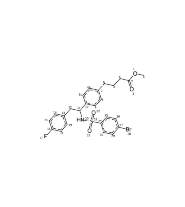 COC(=O)CCCc1ccc(C(Cc2ccc(F)cc2)NS(=O)(=O)c2ccc(Br)cc2)cc1